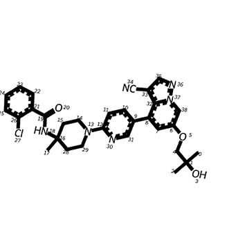 CC(C)(O)COc1cc(-c2ccc(N3CCC(C)(NC(=O)c4ccccc4Cl)CC3)nc2)c2c(C#N)cnn2c1